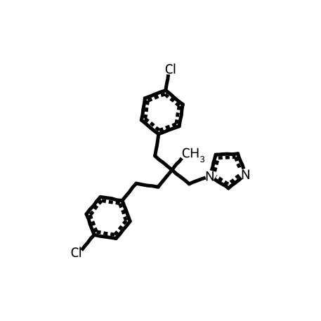 CC(CCc1ccc(Cl)cc1)(Cc1ccc(Cl)cc1)Cn1ccnc1